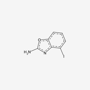 Nc1nc2c(I)cccc2o1